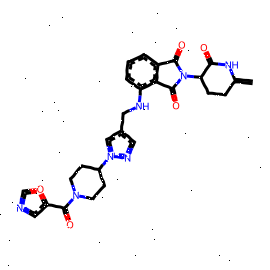 C=C1CCC(N2C(=O)c3cccc(NCc4cnn(C5CCN(C(=O)c6cnco6)CC5)c4)c3C2=O)C(=O)N1